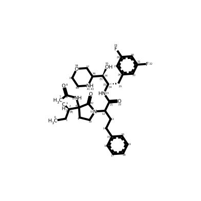 CC[C@@H](C)C1(NC(C)=O)CCN(C(CCc2ccccc2)C(=O)N[C@@H](Cc2cc(F)cc(F)c2)[C@H](O)C2COCCN2)C1=O